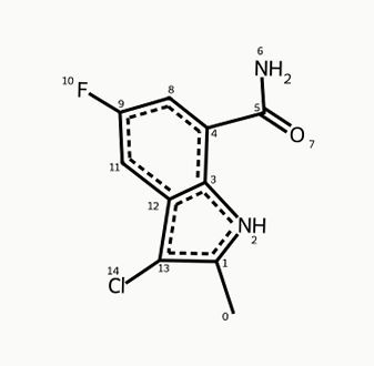 Cc1[nH]c2c(C(N)=O)cc(F)cc2c1Cl